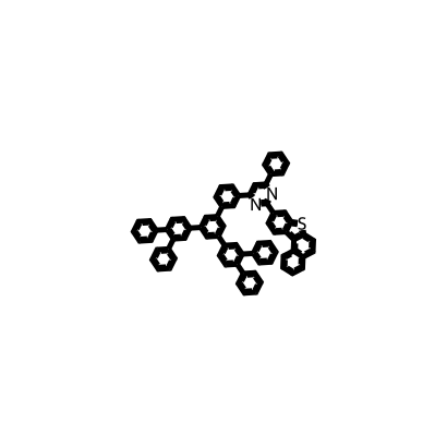 c1ccc(-c2cc(-c3cccc(-c4cc(-c5ccc(-c6ccccc6)c(-c6ccccc6)c5)cc(-c5ccc(-c6ccccc6)c(-c6ccccc6)c5)c4)c3)nc(-c3ccc4c(c3)sc3ccc5ccccc5c34)n2)cc1